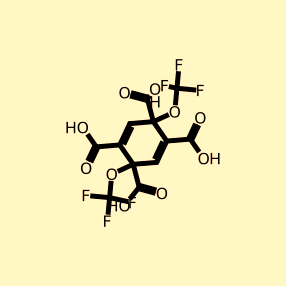 O=C(O)C1=CC(OC(F)(F)F)(C(=O)O)C(C(=O)O)=CC1(OC(F)(F)F)C(=O)O